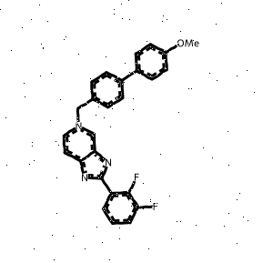 COc1ccc(-c2ccc(Cn3ccc4nc(-c5cccc(F)c5F)nc-4c3)cc2)cc1